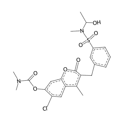 Cc1c(Cc2cccc(S(=O)(=O)N(C)C(C)O)c2)c(=O)oc2cc(OC(=O)N(C)C)c(Cl)cc12